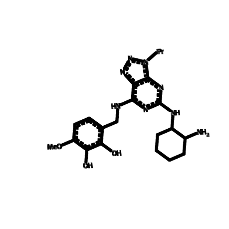 COc1ccc(CNc2nc(NC3CCCCC3N)nc3c2nnn3C(C)C)c(O)c1O